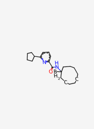 BC1(NC(=O)c2cccc(C3CCCC3)n2)CCCCCCCCC1